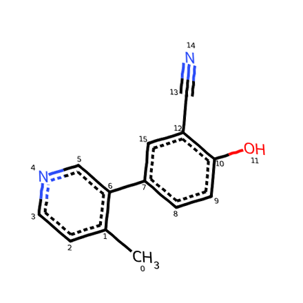 Cc1ccncc1-c1ccc(O)c(C#N)c1